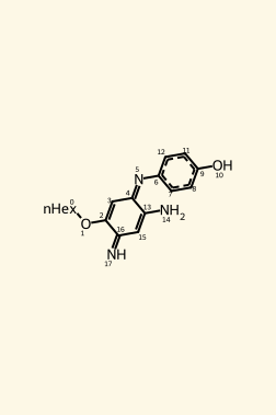 CCCCCCOC1=CC(=Nc2ccc(O)cc2)C(N)=CC1=N